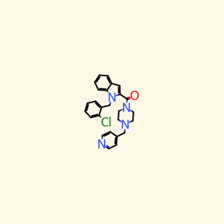 O=C(c1cc2ccccc2n1Cc1ccccc1Cl)N1CCN(Cc2ccncc2)CC1